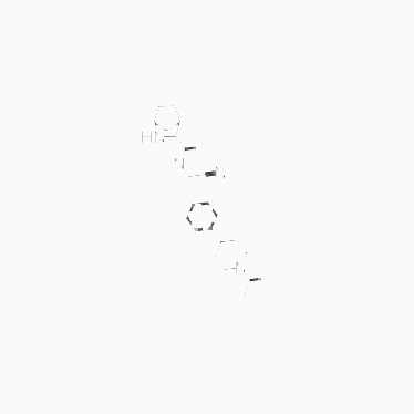 CCC(=O)N1CCC(c2ccc(C[C@@H](C#N)NC(=O)C3NC4CCC3C4)cc2)CC1